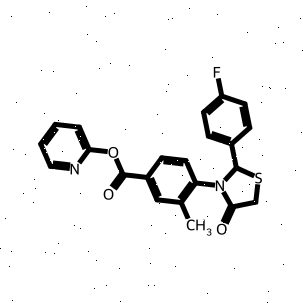 Cc1cc(C(=O)Oc2ccccn2)ccc1N1C(=O)CSC1c1ccc(F)cc1